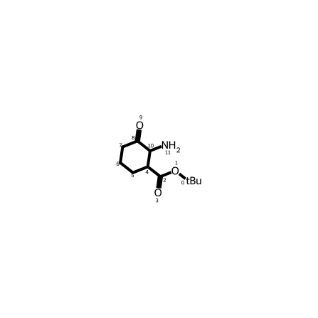 CC(C)(C)OC(=O)C1CCCC(=O)C1N